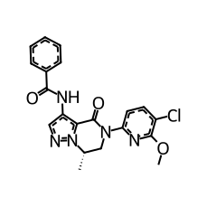 COc1nc(N2C[C@H](C)n3ncc(NC(=O)c4ccccc4)c3C2=O)ccc1Cl